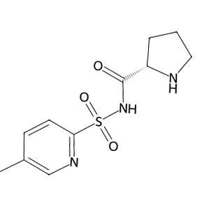 Cc1ccc(S(=O)(=O)NC(=O)[C@@H]2CCCN2)nc1